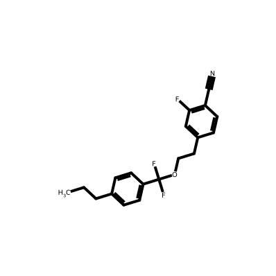 CCCc1ccc(C(F)(F)OCCc2ccc(C#N)c(F)c2)cc1